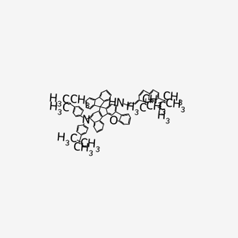 CC(C)(C)C(/C=C\c1ccc(C(C)(C)C)cc1)=C/C=C/Nc1cc2c(c3oc4ccccc4c13)-c1c(cc(N(c3ccc(C(C)(C)C)cc3)c3ccc(C(C)(C)C)cc3)c3ccccc13)C21c2ccccc2-c2ccccc21